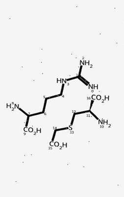 N=C(N)NCCCC(N)C(=O)O.N[C@@H](CSCC(=O)O)C(=O)O